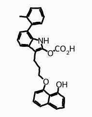 Cc1ccccc1-c1cccc2c(CCCOc3cccc4cccc(O)c34)c(OC(=O)O)[nH]c12